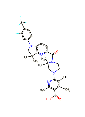 Cc1nc(N2CCN(C(=O)c3ccc4c(n3)C(C)(C)CN4c3ccc(C(F)(F)F)c(F)c3)C(C)(C)C2)c(C)c(C)c1C(=O)O